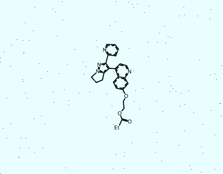 CCC(=O)OCCOc1ccc2c(-c3c(-c4ccccn4)nn4c3CCC4)ccnc2c1